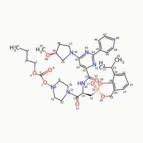 CCCCOC(=O)ON1CCN(C(=O)[C@H](CP2(=O)OCc3cccc(C(C)C)c3O2)NC(=O)c2cc(N3CC[C@H](OC)C3)nc(-c3ccccc3)n2)CC1